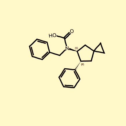 O=C(O)N(Cc1ccccc1)[C@H]1CC2(CC2)C[C@@H]1c1ccccc1